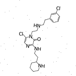 O=c1c(NCCC2CCCCN2)ncc(Cl)n1CCNCCc1cccc(Cl)c1